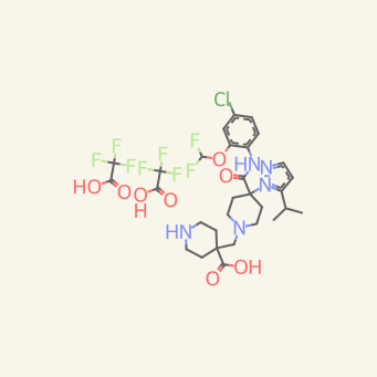 CC(C)c1ccnn1C1(C(=O)Nc2ccc(Cl)cc2OC(F)F)CCN(CC2(C(=O)O)CCNCC2)CC1.O=C(O)C(F)(F)F.O=C(O)C(F)(F)F